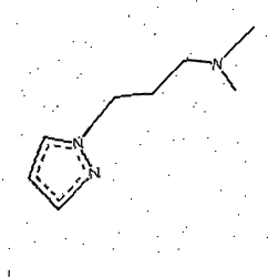 CN(C)CCCn1cccn1